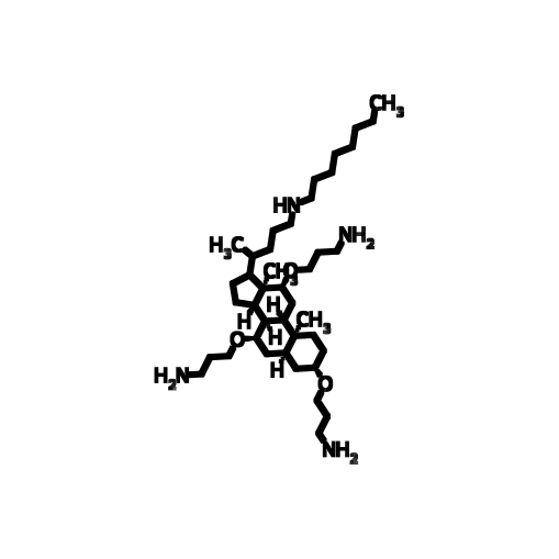 CCCCCCCCNCCCC(C)C1CC[C@H]2[C@@H]3[C@H](OCCCN)C[C@@H]4C[C@H](OCCCN)CC[C@]4(C)[C@H]3C[C@H](OCCCN)[C@]12C